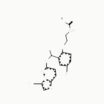 CC(=O)c1cnc2ccc(OC(C)c3cc(F)ccc3OCCNC(=O)OC(C)(C)C)nn12